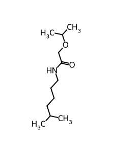 CC(C)CCCCNC(=O)COC(C)C